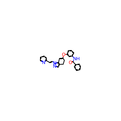 O=C(Nc1cccc(OC2=Cc3c(cnn3C=Cc3ccccn3)CC2)c1)c1ccccc1